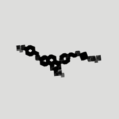 Nc1nc2c(c(N3CCN(CCO[C@H]4C[C@@H](C(=O)O)C4)CC3)n1)CCc1cc(OCC3CCC(C(F)(F)F)CC3)ccc1-2